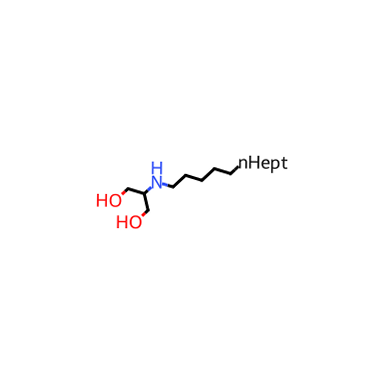 CCCCCCCCCCCCNC(CO)CO